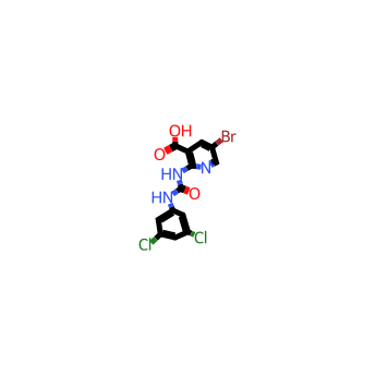 O=C(Nc1cc(Cl)cc(Cl)c1)Nc1ncc(Br)cc1C(=O)O